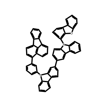 c1cc(-c2ccc3c4c(cccc24)-c2ccccc2-3)cc(-n2c3ccccc3c3ccc(-c4ccc5c(c4)c4ccccc4n5-c4cccc5c4oc4ccccc45)cc32)c1